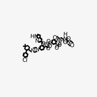 CC1(C)CCC(CN2CCN(c3ccc(C(=O)NS(=O)(=O)c4cc5c(c([N+](=O)[O-])c4)N[C@H](CCNS(=O)(=O)N4CCOCC4)CO5)c(Oc4cnc5[nH]ccc5c4)c3)CC2)=C(c2ccc(Cl)cc2)C1